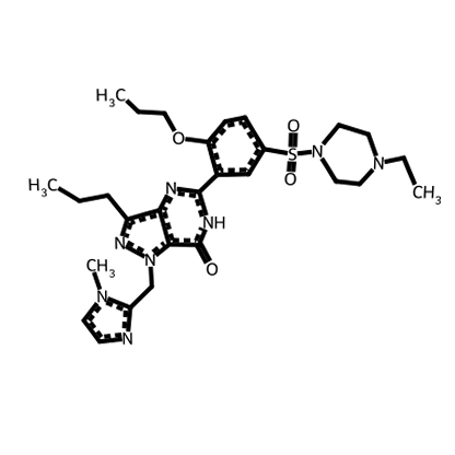 CCCOc1ccc(S(=O)(=O)N2CCN(CC)CC2)cc1-c1nc2c(CCC)nn(Cc3nccn3C)c2c(=O)[nH]1